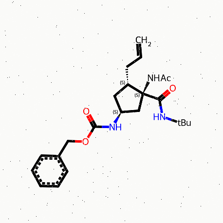 C=CC[C@H]1C[C@H](NC(=O)OCc2ccccc2)C[C@@]1(NC(C)=O)C(=O)NC(C)(C)C